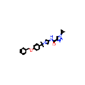 CC(C)(c1ccc(OCc2ccccc2)cc1)N1CC(NC(=O)c2cn(C3CC3)nn2)C1